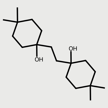 CC1(C)CCC(O)(CCC2(O)CCC(C)(C)CC2)CC1